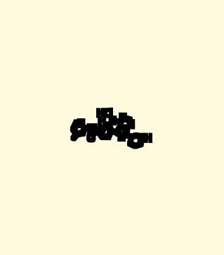 Cc1ccnc(NC(=O)c2ccc(-c3nn(C4CCCNC4)c4ncnc(N)c34)cc2)c1.Cl